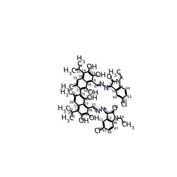 CCN1C(=O)/C(=N\N=C\c2c(O)c(O)c(C(C)C)c3cc(C)c(-c4c(C)cc5c(C(C)C)c(O)c(O)c(/C=N/N=C6/C(=O)N(CC)c7ccc(Cl)cc76)c5c4O)c(O)c23)c2cc(Cl)ccc21